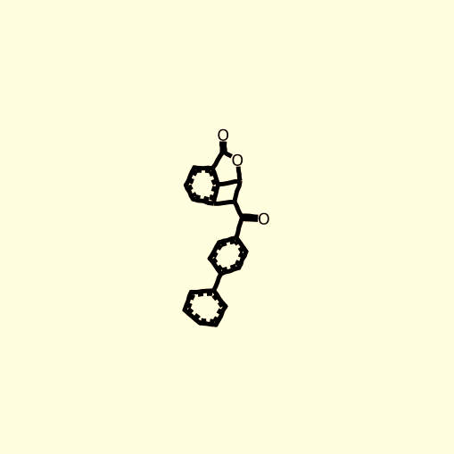 O=C1OC2c3c1cccc3C2C(=O)c1ccc(-c2ccccc2)cc1